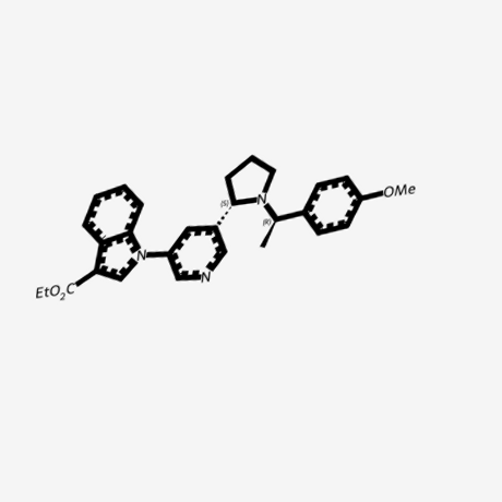 CCOC(=O)c1cn(-c2cncc([C@@H]3CCCN3[C@H](C)c3ccc(OC)cc3)c2)c2ccccc12